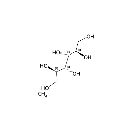 C.OC[C@@H](O)[C@@H](O)[C@H](O)[C@H](O)CO